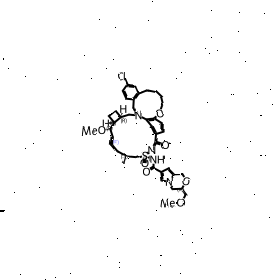 COC[C@H]1Cn2cc(C(=O)N[S@@]3(=O)=NC(=O)c4ccc5c(c4)N(Cc4ccc(Cl)cc4CCCCO5)C[C@@H]4CC[C@H]4[C@@H](OC)/C=C/C[C@H](C)C3)cc2CO1